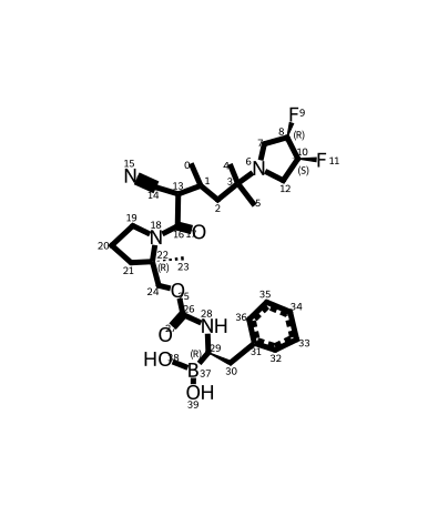 CC(CC(C)(C)N1C[C@@H](F)[C@@H](F)C1)C(C#N)C(=O)N1CCC[C@]1(C)COC(=O)N[C@@H](Cc1ccccc1)B(O)O